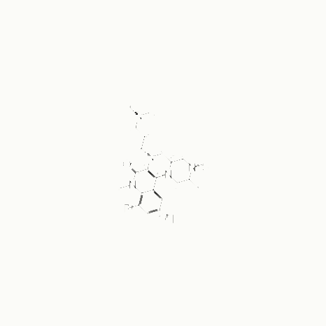 CC1CN2c3c(c(=O)n(C)c4c(F)cc(Cl)cc34)N(CCCN(C)C)CC2CN1C